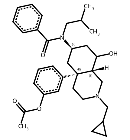 CC(=O)Oc1cccc([C@@]23CCN(CC4CC4)C[C@H]2C(O)C[C@H](N(CC(C)C)C(=O)c2ccccc2)C3)c1